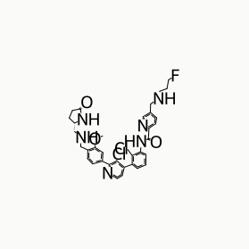 COc1cc(-c2nccc(-c3cccc(NC(=O)c4ccc(CNCCCF)cn4)c3Cl)c2Cl)ccc1CNC[C@@H]1CCC(=O)N1